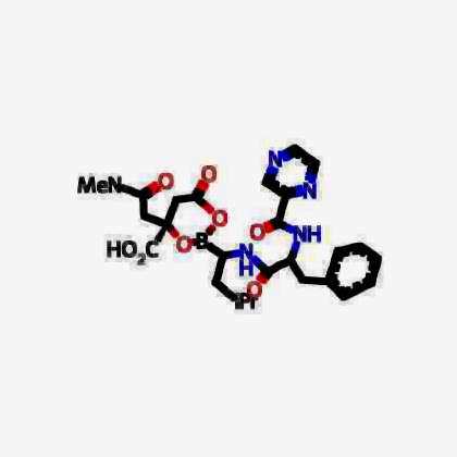 CNC(=O)C[C@]1(C(=O)O)CC(=O)OB(C(CC(C)C)NC(=O)C(Cc2ccccc2)NC(=O)c2cnccn2)O1